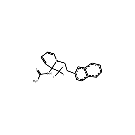 NC(=S)NC1(C(F)(F)F)C=CC=CN1CCc1ccc2ccccc2c1